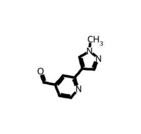 Cn1cc(-c2cc(C=O)ccn2)cn1